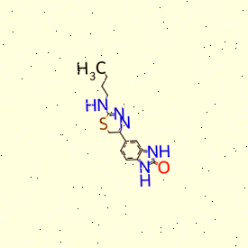 CCCCNC1=NN=C(c2ccc3[nH]c(=O)[nH]c3c2)CS1